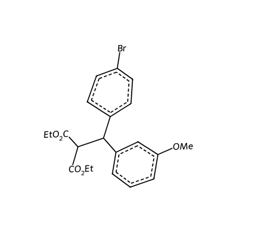 CCOC(=O)C(C(=O)OCC)C(c1ccc(Br)cc1)c1cccc(OC)c1